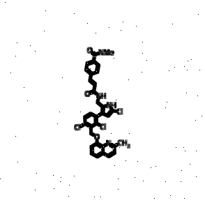 CNC(=O)c1ccc(C=CC(=O)NCc2[nH]c(Cl)cc2-c2ccc(Cl)c(COc3cccc4ccc(C)nc34)c2Cl)cc1